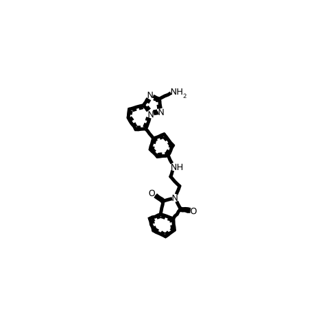 Nc1nc2cccc(-c3ccc(NCCN4C(=O)c5ccccc5C4=O)cc3)n2n1